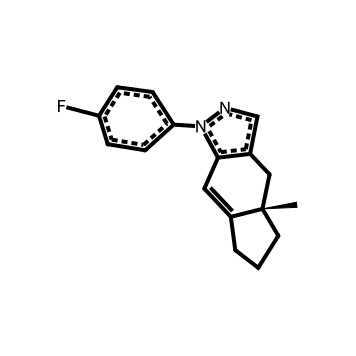 C[C@@]12CCCC1=Cc1c(cnn1-c1ccc(F)cc1)C2